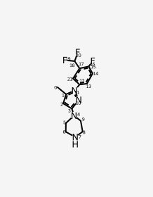 Cc1cc(N2CCNCC2)nn1-c1ccc(F)c(C(F)F)c1